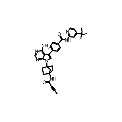 CC#CC(=O)NC12CCC(n3cc(-c4ccc(C(=O)Nc5cc(C(F)(F)F)ccn5)cc4)c4c(N)ncnc43)(CC1)C2